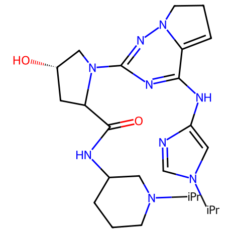 CC(C)N1CCCC(NC(=O)C2C[C@H](O)CN2C2=NN3CCC=C3C(Nc3cn(C(C)C)cn3)=N2)C1